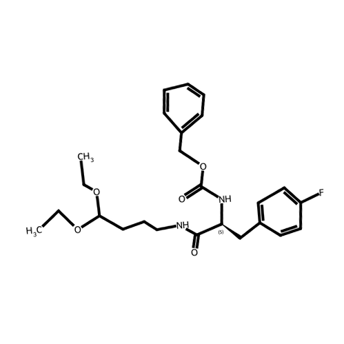 CCOC(CCCNC(=O)[C@H](Cc1ccc(F)cc1)NC(=O)OCc1ccccc1)OCC